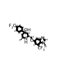 C[C@H]1C[C@@](O)(c2ccc(C(F)(F)F)cc2)C[C@@H](COc2cc(C(F)(F)F)c3c(c2)ncn3C)N1